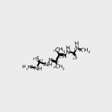 CNC(=S)N/N=C(C)/C(C)=N/NC(=S)NN